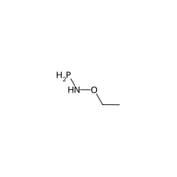 CCONP